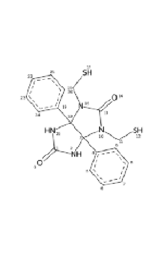 O=C1NC2(c3ccccc3)N(CS)C(=O)N(CS)C2(c2ccccc2)N1